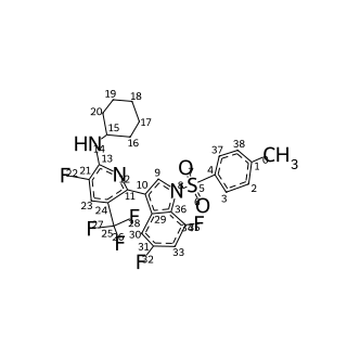 Cc1ccc(S(=O)(=O)n2cc(-c3nc(NC4CCCCC4)c(F)cc3C(F)(F)F)c3cc(F)cc(F)c32)cc1